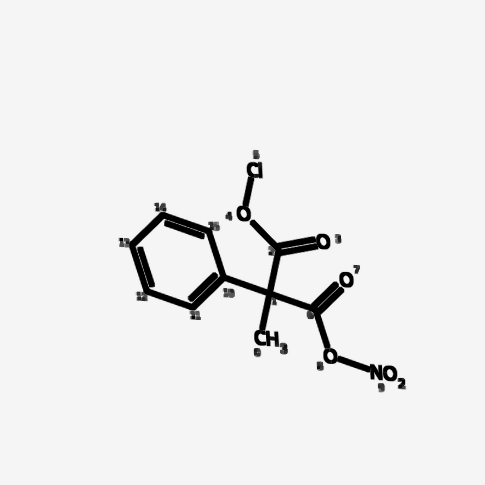 CC(C(=O)OCl)(C(=O)O[N+](=O)[O-])c1ccccc1